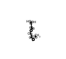 CC(=O)Oc1ccccc1C(=O)OCOC(=O)c1ccc(S(=O)(=O)CCCON(O)O)cc1